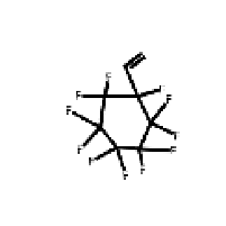 C=CC1(F)C(F)(F)C(F)(F)C(F)(F)C(F)(F)C1(F)F